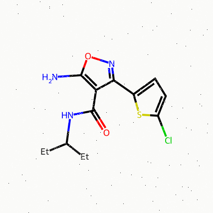 CCC(CC)NC(=O)c1c(-c2ccc(Cl)s2)noc1N